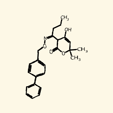 CCCC(=NOCc1ccc(-c2ccccc2)cc1)C1C(=O)OC(C)(C)C=C1O